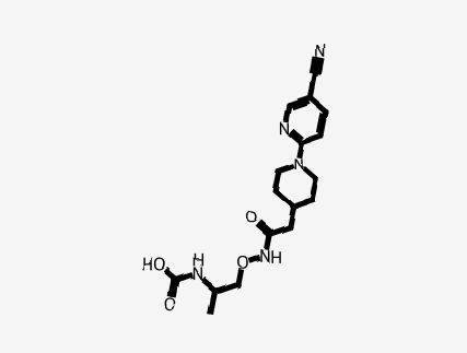 CC(CONC(=O)CC1CCN(c2ccc(C#N)cn2)CC1)NC(=O)O